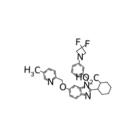 Cc1ccc(COc2ccc3nc(C4CCCCC4C(=O)O)n(Cc4cccc(N5CC(F)(F)C5)c4)c3c2)nc1